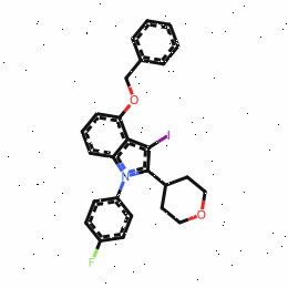 Fc1ccc(-n2c(C3CCOCC3)c(I)c3c(OCc4ccccc4)cccc32)cc1